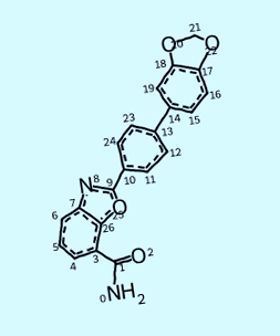 NC(=O)c1cccc2nc(-c3ccc(-c4ccc5c(c4)OCO5)cc3)oc12